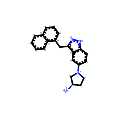 N[C@@H]1CCN(c2ccc3[nH]nc(Cc4cccc5ccccc45)c3c2)C1